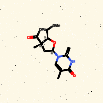 C=C1NC(=O)C(C)=CN1[C@H]1C[C@](C)(C(=O)OC)[C@@H](COC)O1